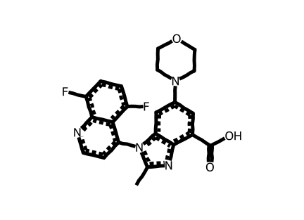 Cc1nc2c(C(=O)O)cc(N3CCOCC3)cc2n1-c1ccnc2c(F)ccc(F)c12